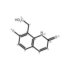 O=C(O)Cc1c(F)ccc2ccc(=O)[nH]c12